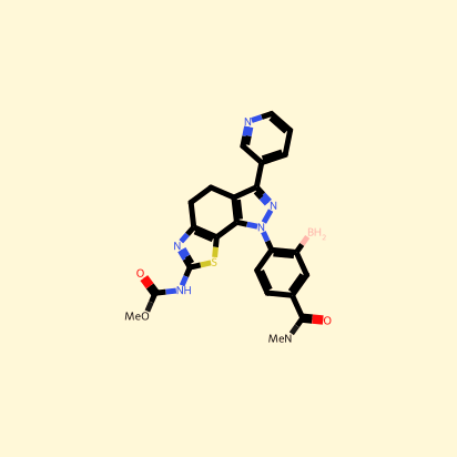 Bc1cc(C(=O)NC)ccc1-n1nc(-c2cccnc2)c2c1-c1sc(NC(=O)OC)nc1CC2